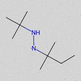 CCC(C)(C)[N]NC(C)(C)C